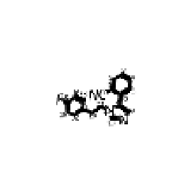 N#Cc1ccccc1-c1cncn1CCc1ccc(F)cc1